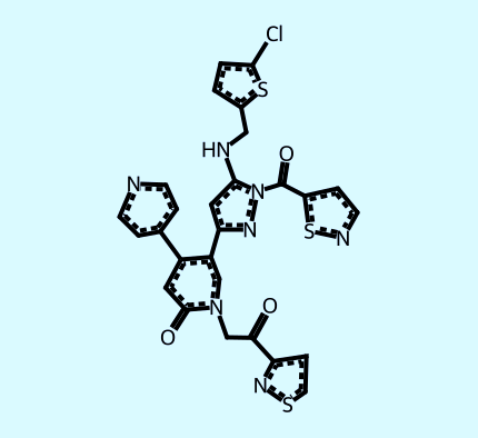 O=C(Cn1cc(-c2cc(NCc3ccc(Cl)s3)n(C(=O)c3ccns3)n2)c(-c2ccncc2)cc1=O)c1ccsn1